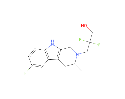 C[C@@H]1Cc2c([nH]c3ccc(F)cc23)CN1CC(F)(F)CO